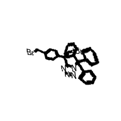 CC(C)(C)/C=C(/c1ccc(CBr)cc1)c1nnnn1C(c1ccccc1)(c1ccccc1)c1ccccc1